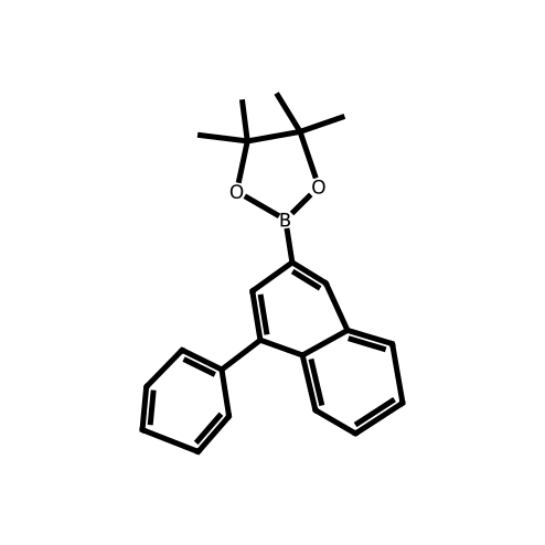 CC1(C)OB(c2cc(-c3ccccc3)c3ccccc3c2)OC1(C)C